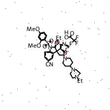 CCOc1ncccc1C1(CC(=O)N2CCC(N3CCN(CC)CC3)CC2)C(=O)N(S(=O)(=O)c2ccc(OC)cc2OC)c2ccc(C#N)cc21.O=C(O)C(F)(F)F